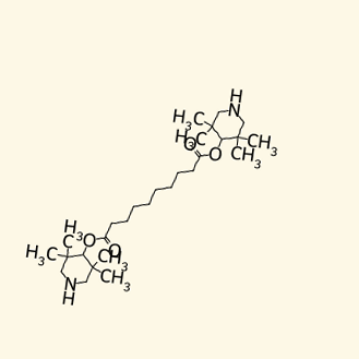 CC1(C)CNCC(C)(C)C1OC(=O)CCCCCCCCC(=O)OC1C(C)(C)CNCC1(C)C